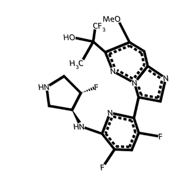 COc1cc2ncc(-c3nc(N[C@H]4CNC[C@@H]4F)c(F)cc3F)n2nc1C(C)(O)C(F)(F)F